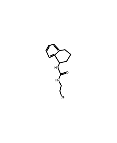 O=C(NCCO)NC1CCCc2ccccc21